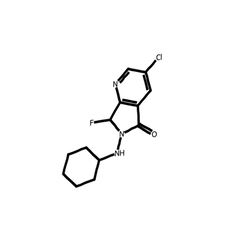 O=C1c2cc(Cl)cnc2C(F)N1NC1CCCCC1